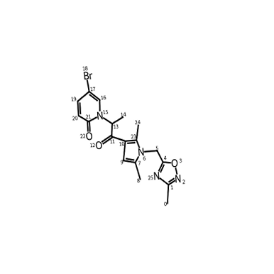 Cc1noc(Cn2c(C)cc(C(=O)C(C)n3cc(Br)ccc3=O)c2C)n1